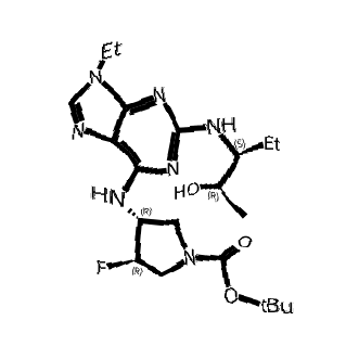 CC[C@H](Nc1nc(N[C@@H]2CN(C(=O)OC(C)(C)C)C[C@H]2F)c2ncn(CC)c2n1)[C@@H](C)O